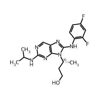 CC(C)Nc1ncc2nc(Nc3ccc(F)cc3F)n([C@H](C)CCO)c2n1